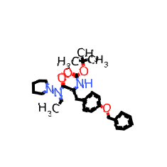 CCN(C(=O)C(Cc1ccc(OCc2ccccc2)cc1)NC(=O)OC(C)(C)C)N1CCCCC1